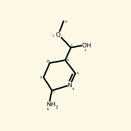 COC(O)C1C=NC(N)CC1